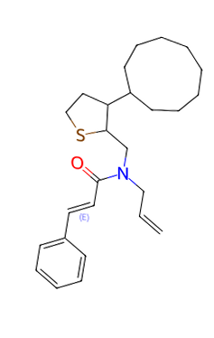 C=CCN(CC1SCCC1C1CCCCCCCC1)C(=O)/C=C/c1ccccc1